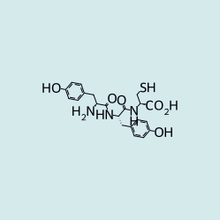 N[C@@H](Cc1ccc(O)cc1)C(=O)N[C@@H](Cc1ccc(O)cc1)C(=O)N[C@@H](CS)C(=O)O